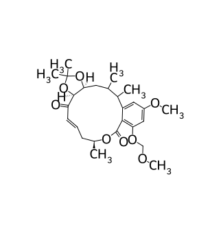 COCOc1cc(OC)cc2c1C(=O)O[C@@H](C)C/C=C/C(=O)[C@H]1OC(C)(C)O[C@H]1CC(C)C2C